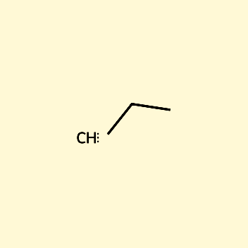 CCC.[CH]